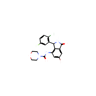 O=C1NC(c2cc(F)ccc2Cl)c2c(NC(=O)N3CCOCC3)cc(Br)cc21